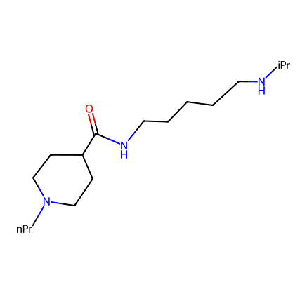 CCCN1CCC(C(=O)NCCCCCNC(C)C)CC1